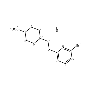 O=C([O-])C1CCN(CCc2cccc(Br)c2)CC1.[Li+]